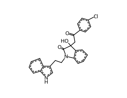 O=C(CC1(O)C(=O)N(CCc2c[nH]c3ccccc23)c2ccccc21)c1ccc(Cl)cc1